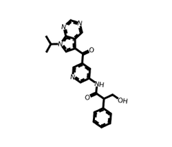 CC(C)n1cc(C(=O)c2cncc(NC(=O)C(CO)c3ccccc3)c2)c2cncnc21